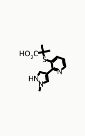 CN1C=C(c2ncccc2SC(C)(C)C(=O)O)CN1